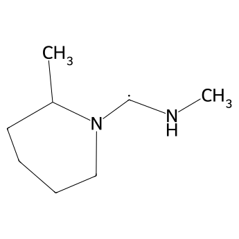 CN[CH]N1CCCCC1C